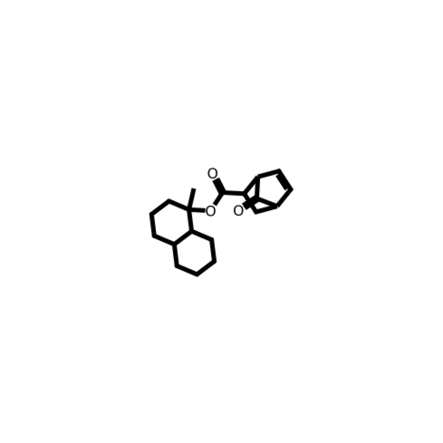 CC1(OC(=O)C2CC3C=CC2C3=O)CCCC2CCCCC21